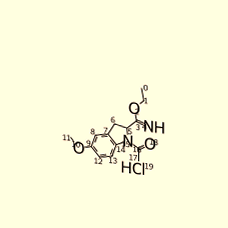 CCOC(=N)C1Cc2cc(OC)ccc2N1C(C)=O.Cl